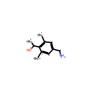 CCCCC(O)c1c(C(C)(C)C)cc(CN)cc1C(C)(C)C